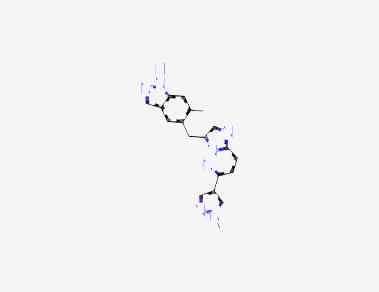 Cn1cc(-c2ccc3ncc(Cc4cc5cn[nH]c5cc4F)n3n2)cn1